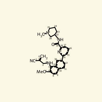 C=C(C#N)CNc1c(OC)ccc2ccc(-c3cccc(C(=O)NC4CCCN(C)C4)n3)cc12